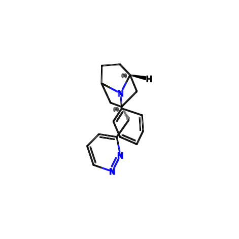 c1ccc(N2C3CC[C@@H]2C[C@H](Cc2cccnn2)C3)cc1